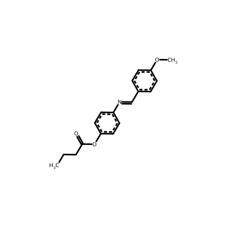 CCCC(=O)Oc1ccc(N=Cc2ccc(OC)cc2)cc1